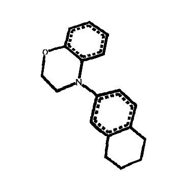 c1ccc2c(c1)OCCN2c1ccc2c(c1)CCCC2